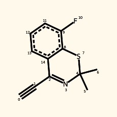 C#CC1=NC(C)(C)Sc2c(F)cccc21